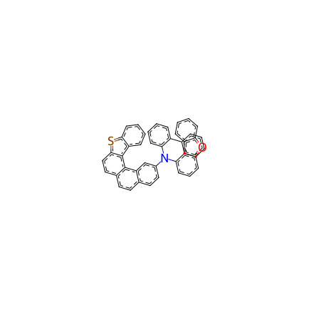 c1ccc(-c2ccccc2N(c2ccc3ccc4ccc5sc6ccccc6c5c4c3c2)c2cccc3oc4ccccc4c23)cc1